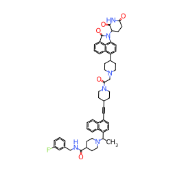 CC(c1ccc(C#CC2CCN(C(=O)CN3CCC(c4ccc5c6c(cccc46)C(=O)N5C4CCC(=O)NC4=O)CC3)CC2)c2ccccc12)N1CCC(C(=O)NCc2cccc(F)c2)CC1